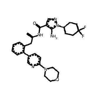 C=C(Cc1ccccc1-c1ccc(N2CCOCC2)nc1)NC(=O)c1cnn(C2CCC(F)(F)CC2)c1N